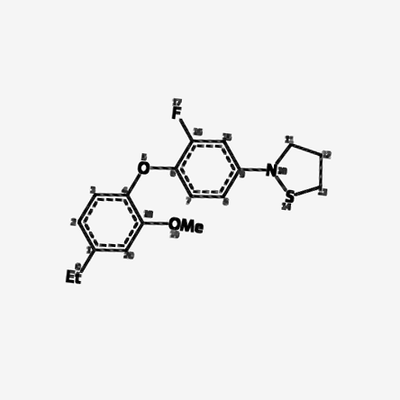 CCc1ccc(Oc2ccc(N3CCCS3)cc2F)c(OC)c1